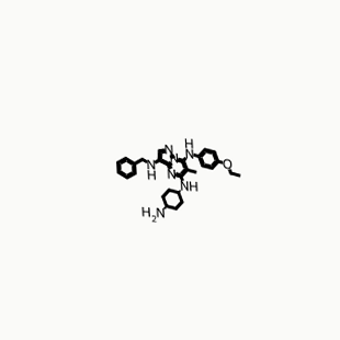 CCOc1ccc(Nc2c(C)c(N[C@H]3CC[C@H](N)CC3)nc3c(NCc4ccccc4)cnn23)cc1